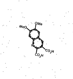 COc1cc2cc(C(=O)O)c(C(=O)O)nc2cc1OC